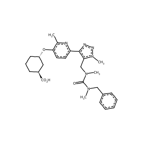 Cc1nc(-c2nnn(C)c2CN(C)C(=O)N(C)Cc2ccccc2)ccc1O[C@H]1CCC[C@H](C(=O)O)C1